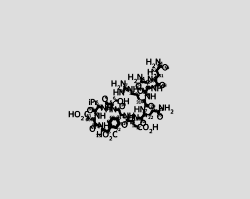 CC(C)[C@H](NC(=O)[C@H](CO)NC(=O)CNC(=O)[C@H](CC(=O)O)NC(=O)[C@H](CCC(N)=O)NC(=O)[C@H](CCCNC(=N)N)NC(=O)[C@H](CC(N)=O)NC(=O)[C@@H](N)CCC(N)=O)C(=O)N[C@@H](CC(=O)O)C(=O)N[C@@H](Cc1ccccc1)C(=O)O